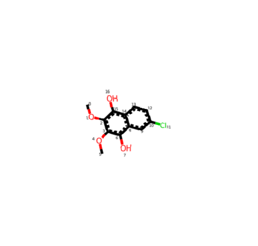 COc1c(OC)c(O)c2cc(Cl)ccc2c1O